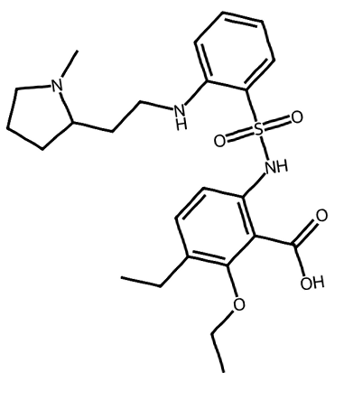 CCOc1c(CC)ccc(NS(=O)(=O)c2ccccc2NCCC2CCCN2C)c1C(=O)O